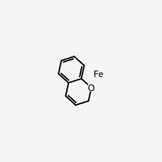 C1=Cc2ccccc2OC1.[Fe]